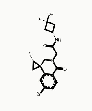 C[C@]1(O)C[C@H](NC(=O)CN2C[C@]3(C[C@@H]3F)c3cc(Br)ccc3C2=O)C1